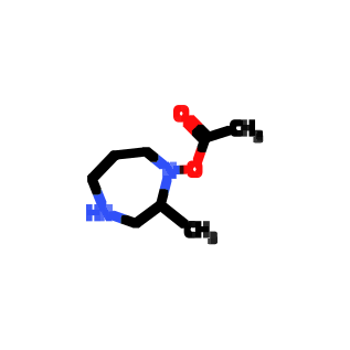 CC(=O)ON1CCCNCC1C